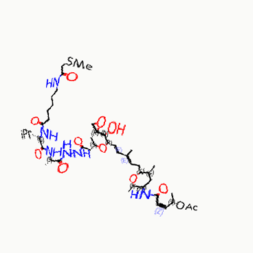 CSCC(=O)NCCCCCC(=O)N[C@H](C(=O)N[C@@H](C)C(=O)NNC(=O)C[C@@H]1C[C@@]2(CO2)[C@H](O)[C@@H](/C=C/C(C)=C/C[C@@H]2O[C@H](C)[C@H](NC(=O)/C=C\[C@H](C)OC(C)=O)C[C@@H]2C)O1)C(C)C